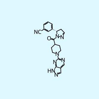 N#Cc1cccc([C@@H]2CC=NN2C(=O)C2CCN(c3ncc4cn[nH]c4n3)CC2)c1